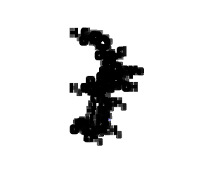 COc1ccc2c(OS(=O)(=O)Oc3cc(C(=O)N(C)CC(C)(C)COCC(C)(C)CN(N)/C=C(\N)CC(C)(C)COCC(C)(C)CN4C(=O)C=CC4=O)ccc3O[C@H]3CC(O)[C@@H](O)[C@@H](CO)O3)cc3c(c2c1)C(CCl)CN3C(=O)C1=Cc2cc([S+](C)[O-])ccc2CCC1